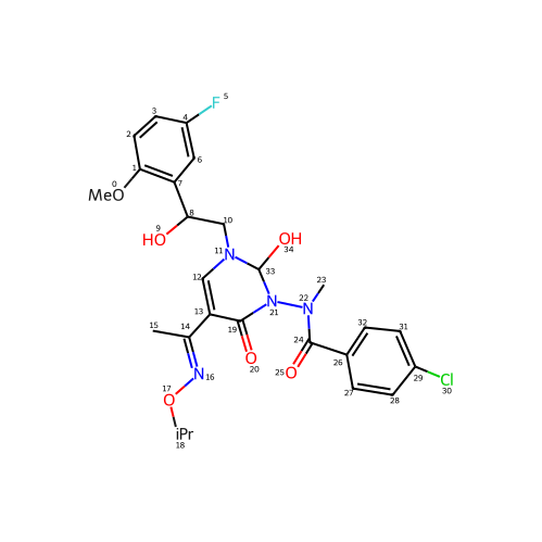 COc1ccc(F)cc1C(O)CN1C=C(/C(C)=N/OC(C)C)C(=O)N(N(C)C(=O)c2ccc(Cl)cc2)C1O